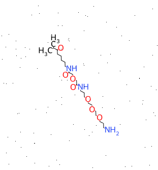 CC(C)C(=O)CCCCCNC(=O)COCC(=O)NCCCOCCOCCOCCCN